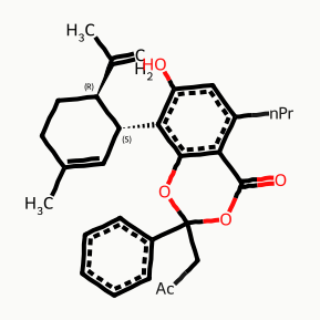 C=C(C)[C@@H]1CCC(C)=C[C@H]1c1c(O)cc(CCC)c2c1OC(CC(C)=O)(c1ccccc1)OC2=O